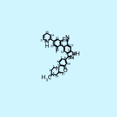 CN1CCN2c3ccc(-c4n[nH]c5cc(C#N)c(-c6c(F)cc(C7CCCCN7)cc6F)cc45)cc3OCC2C1